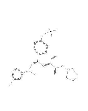 CN(/N=C(\C=C(/C=O)C(=O)NC1CCOC1)c1ccc(OC(F)(F)F)cc1)c1cnn(C)c1